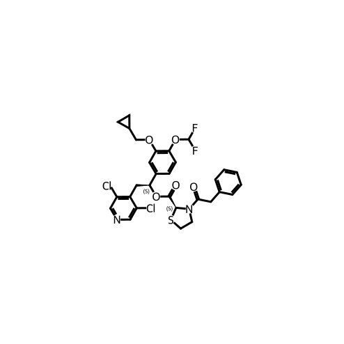 O=C(O[C@@H](Cc1c(Cl)cncc1Cl)c1ccc(OC(F)F)c(OCC2CC2)c1)[C@@H]1SCCN1C(=O)Cc1ccccc1